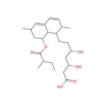 CCC(C)C(=O)OC1CC(C)C=C2C=CC(C)C(CCC(O)CC(O)CC(=O)O)C21